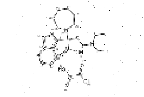 CCN(CC)CCC(C(=O)O)(c1noc2ccccc12)N1CCCCCC1.O=C(O)C(=O)O